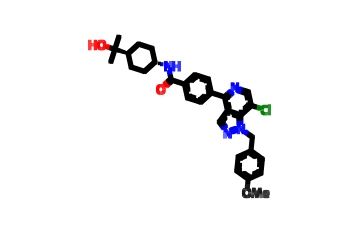 COc1ccc(Cn2ncc3c(-c4ccc(C(=O)N[C@H]5CC[C@H](C(C)(C)O)CC5)cc4)ncc(Cl)c32)cc1